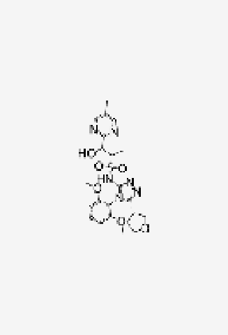 COc1cccc(OC)c1-n1c(NS(=O)(=O)C(C)C(O)c2ncc(C)cn2)nnc1[C@H]1CCOC1